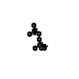 Cc1ccc2ccc3c(-c4ccccc4)cc(-c4ccc(-c5cccc(-c6nc(-c7ccccc7)cc(-c7ccccc7)n6)c5)cc4)nc3c2n1